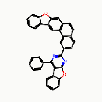 c1ccc(-c2nc(-c3ccc4ccc5cc6oc7ccccc7c6cc5c4c3)nc3oc4ccccc4c23)cc1